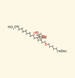 CCCCCCCCCCCCCCCCOCCCCCCCCCCCCCCCC(=O)O.COC.OCCO